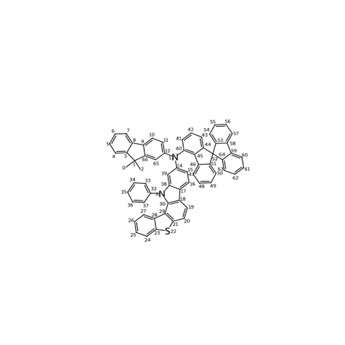 CC1(C)c2ccccc2-c2ccc(N(c3ccc4c5ccc6sc7ccccc7c6c5n(-c5ccccc5)c4c3)c3cccc4c3-c3ccccc3C43c4ccccc4-c4ccccc43)cc21